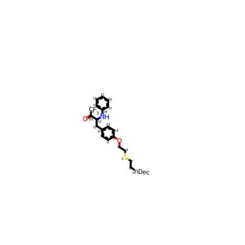 CCCCCCCCCCCCSCCOc1ccc(CC(Nc2ccccc2)C(=O)C(F)(F)F)cc1